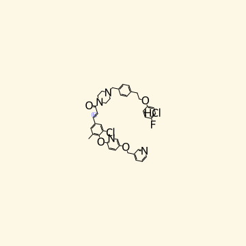 Cc1cc(/C=C/C(=O)N2CCN(Cc3ccc(CCOc4ccc(F)cc4)cc3)CC2)cc(Cl)c1Oc1ccc(OCc2cccnc2)cn1.Cl